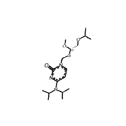 CO[C@H](COC(C)C)SCn1ccc(N(C(C)C)C(C)C)nc1=O